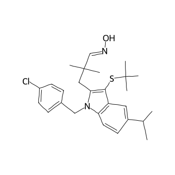 CC(C)c1ccc2c(c1)c(SC(C)(C)C)c(CC(C)(C)C=NO)n2Cc1ccc(Cl)cc1